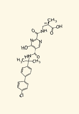 C[C@H](CNC(=O)c1ncc(C(=O)NC(C)(C)c2ccc(-c3ccc(Cl)cc3)cc2)c(O)n1)C(=O)O